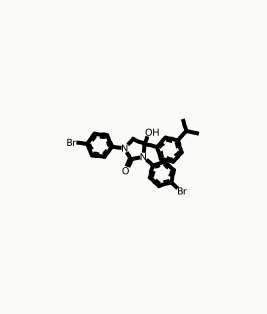 CC(C)c1cccc(C2(O)CN(c3ccc(Br)cc3)C(=O)N2c2ccc(Br)cc2)c1